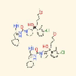 CNC[C@H](CC1CCCCC1)NC(=O)N1CCCC([C@](O)(CCCCOC)c2cccc(Cl)c2C)C1.CNC[C@H](CC1CCCCC1)NC(=O)N1CCC[C@@H]([C@@](O)(CCCCOC)c2cccc(Cl)c2C)C1